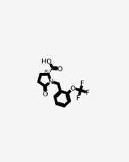 O=C(O)[C@H]1CCC(=O)N1Cc1ccccc1OC(F)(F)F